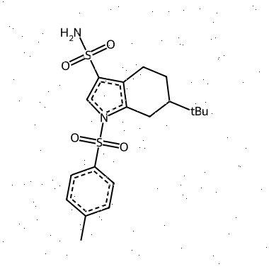 Cc1ccc(S(=O)(=O)n2cc(S(N)(=O)=O)c3c2CC(C(C)(C)C)CC3)cc1